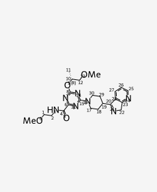 COCCNC(=O)c1nc(O[C@H](C)COC)nc(N2CCC(C3=NCc4ncccc43)CC2)n1